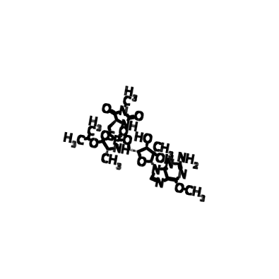 COc1nc(N)nc2c1ncn2[C@@H]1O[C@H](COP(=O)(N[C@H](C)C(=O)OC(C)C)SC[C@@H]2NC(=O)N(C)C2=O)[C@@H](O)[C@@]1(C)O